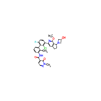 COc1nc(-c2ccc(F)c(-c3cccc(NC(=O)c4ccnn(C)c4=O)c3C)c2Cl)cc2c1C(N1CC(O)C1)CC2